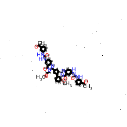 COCCn1c(C2CCC(c3cccc(OC)c3-n3cnc4ccc(NC(=O)Nc5cccc(C(C)=O)c5)cc4c3=O)C2)nc2ccc(NC(=O)Nc3cccc(C(C)=O)c3)cc2c1=O